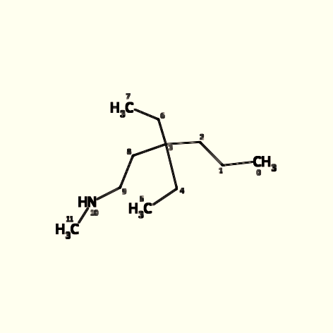 CCCC(CC)(CC)CCNC